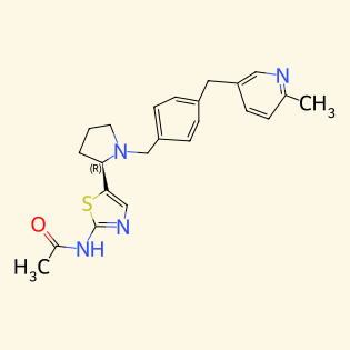 CC(=O)Nc1ncc([C@H]2CCCN2Cc2ccc(Cc3ccc(C)nc3)cc2)s1